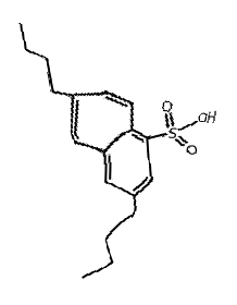 CCCCc1ccc2c(S(=O)(=O)O)cc(CCCC)cc2c1